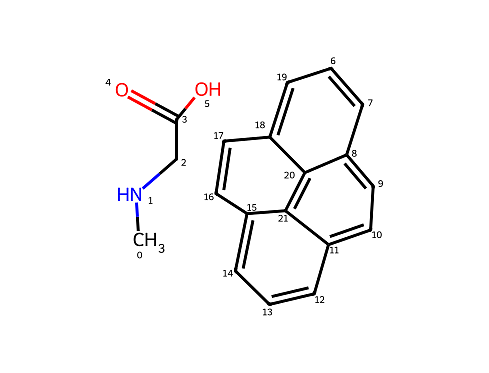 CNCC(=O)O.c1cc2ccc3cccc4ccc(c1)c2c34